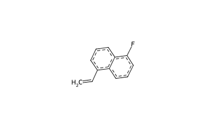 C=Cc1cccc2c(F)cccc12